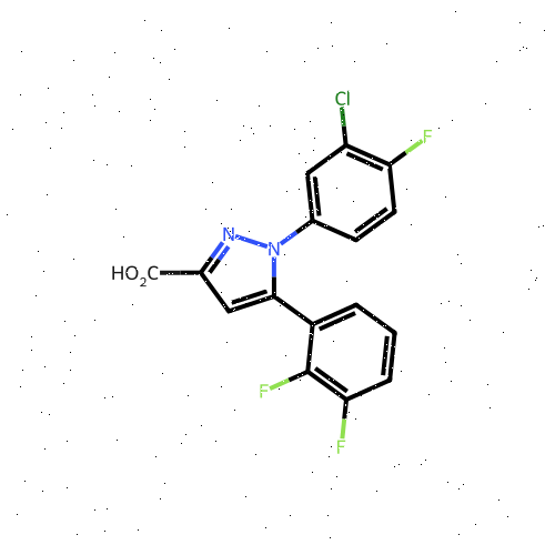 O=C(O)c1cc(-c2cccc(F)c2F)n(-c2ccc(F)c(Cl)c2)n1